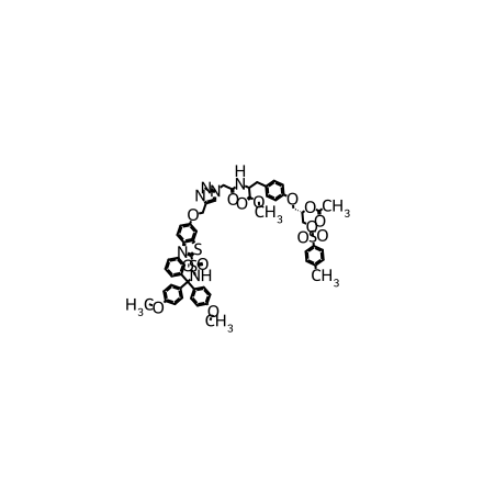 COC(=O)C(Cc1ccc(OC[C@@H](COS(=O)(=O)c2ccc(C)cc2)OC(C)=O)cc1)NC(=O)Cn1cc(COc2ccc3nc(S(=O)(=O)NC(c4ccccc4)(c4ccc(OC)cc4)c4ccc(OC)cc4)sc3c2)nn1